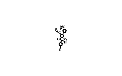 CCn1c2cc(-c3cccc(S(=O)(=O)F)c3)c(OCC(F)(F)F)cc2c(=O)c2c3ccc(C#N)cc3[nH]c21